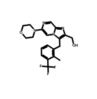 Cc1c(Cc2c(CO)nc3cnc(N4CCOCC4)cn23)cccc1C(F)(F)F